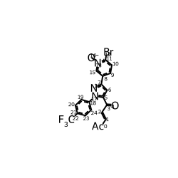 CC(=O)C=CC(=O)c1cc(-c2ccc(Br)[n+]([O-])c2)nn1-c1ccc(C(F)(F)F)cc1